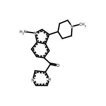 CN1CCC(c2cn(N)c3ccc(C(=O)c4cnccn4)cc23)CC1